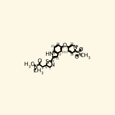 CN(C)C(=O)CC1CN=C(c2cc3cc(Oc4ccc(S(C)(=O)=O)nc4)ccc3[nH]2)S1